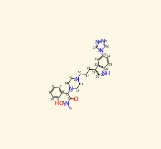 CN(O)C(=O)C(c1ccccc1)N1CCN(CCCc2c[nH]c3ccc(-n4cnnc4)cc23)CC1